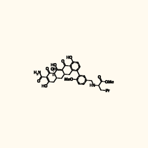 COC(=O)C(CC(C)C)NCc1ccc(OC)c(-c2ccc(O)c3c2CC2CC4CC(O)=C(C(N)=O)C(=O)[C@@]4(O)C(O)=C2C3=O)c1